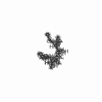 CC[C@H](C)[C@H](NC(=O)[C@@H](CCCNC(=N)NS(=O)(=O)c1c(C)c(C)c2c(c1C)CCC(C)(C)O2)NC(=O)[C@H](CC(C)C)NC(=O)[C@@H](NC(=O)OC(C)(C)C)[C@H](O)C(C)C)C(=O)N[C@H](C(=O)NCC(=O)N[C@@H](CCCNC(=O)OCc1ccccc1)C(=O)N[C@@H](COC(C)(C)C)C(=O)OC)[C@H](C)O